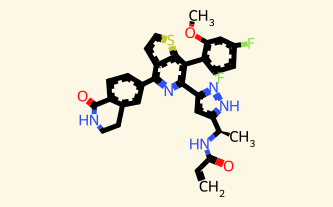 C=CC(=O)N[C@H](C)c1cc(-c2nc(-c3ccc4c(c3)CCNC4=O)c3ccsc3c2-c2c(F)cc(F)cc2OC)n[nH]1